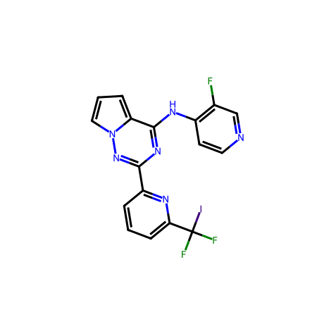 Fc1cnccc1Nc1nc(-c2cccc(C(F)(F)I)n2)nn2cccc12